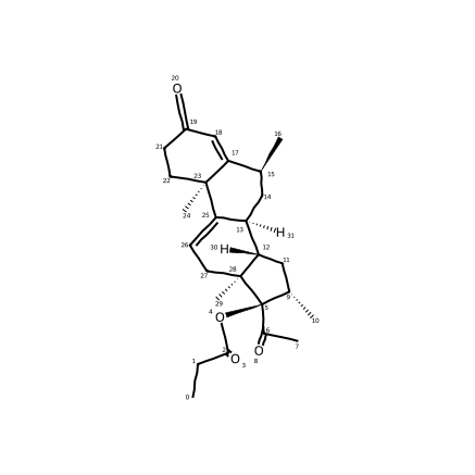 CCC(=O)O[C@]1(C(C)=O)[C@@H](C)C[C@H]2[C@@H]3C[C@H](C)C4=CC(=O)CC[C@]4(C)C3=CC[C@@]21C